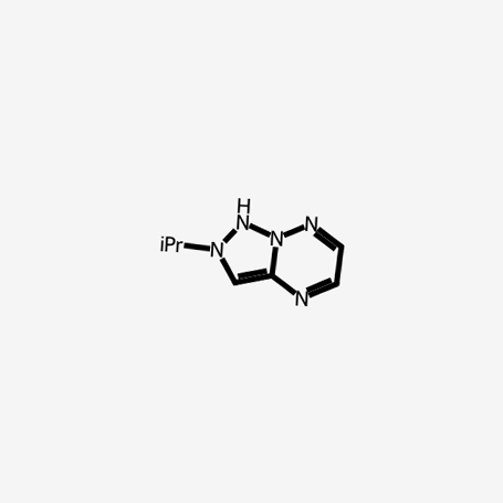 CC(C)N1C=C2N=CC=NN2N1